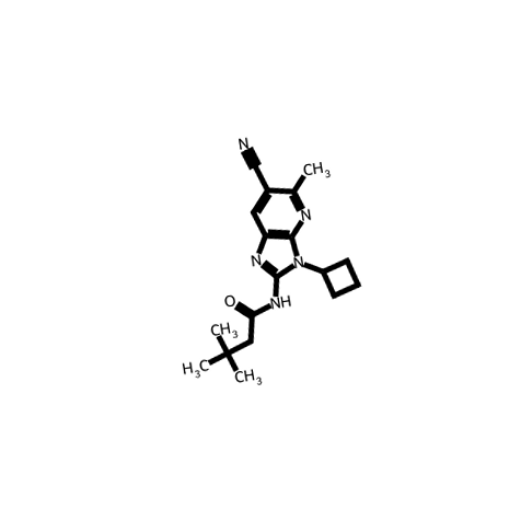 Cc1nc2c(cc1C#N)nc(NC(=O)CC(C)(C)C)n2C1CCC1